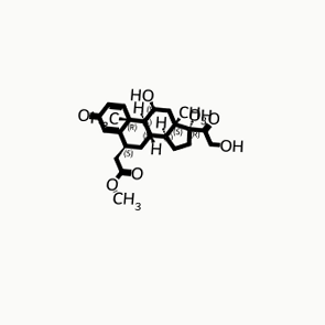 COC(=O)C[C@@H]1C[C@@H]2[C@H]([C@@H](O)C[C@@]3(C)[C@H]2CC[C@]3(O)C(=O)CO)[C@@]2(C)C=CC(=O)C=C12